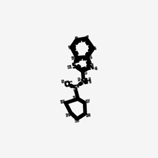 [O-][S+](Nc1nc2ccccc2s1)C1CCCCC1